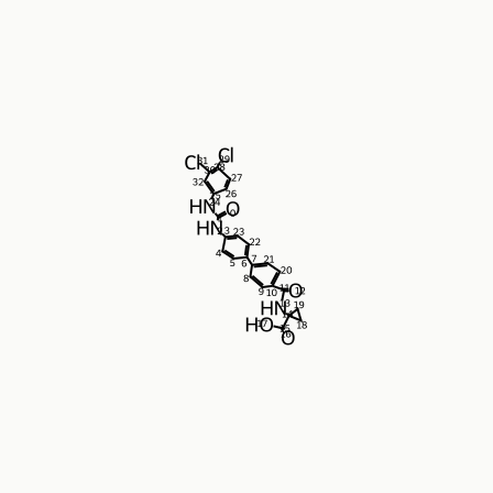 O=C(Nc1ccc(-c2ccc(C(=O)NC3(C(=O)O)CC3)cc2)cc1)Nc1ccc(Cl)c(Cl)c1